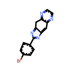 Brc1ccc(C2=NC3=Cc4nccnc4CC3=N2)cc1